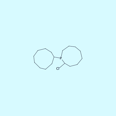 ClC1CCCCCCCP1C1CCCCCCCC1